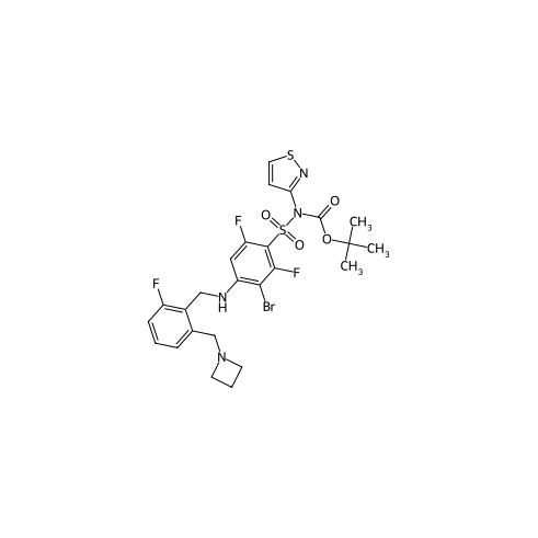 CC(C)(C)OC(=O)N(c1ccsn1)S(=O)(=O)c1c(F)cc(NCc2c(F)cccc2CN2CCC2)c(Br)c1F